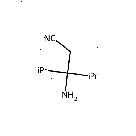 CC(C)C(N)(CC#N)C(C)C